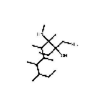 CCC(C)C(C)C(C)C(C)C(C)(NC)C(O)(CC)CN